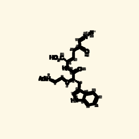 CC(=O)NCCO[C@@H](Cc1c[nH]c2ccccc12)C(=O)N[C@@H](CCC(=O)C=[N+]=[N-])C(=O)O